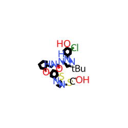 CC(C)(C)c1cc(NC(=O)NCc2ccccc2Oc2ccc3c(c2)N2C=CN(CSCCO)C2S3)n(-c2ccc(O)c(Cl)c2)n1